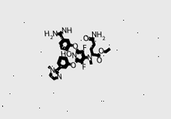 CCOC(=O)C(CCC(N)=O)N(C)c1c(F)c(Oc2cccc(C3=NCCN3C)c2)nc(Oc2cc(C(=N)N)ccc2O)c1F